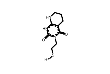 O=c1[nH]c2c(c(=O)n1CCSS)CCCN2